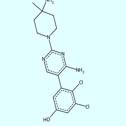 CC1(N)CCN(c2ncc(-c3cc(O)cc(Cl)c3Cl)c(N)n2)CC1